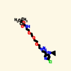 CC(C)(C)OC(=O)NCCOCCOCCOCCn1cc(-c2cnc(Cl)cc2NC2CC2)nn1